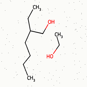 CCCCC(CC)CO.CCO